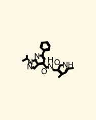 Cc1cc(C)c(CNC(=O)c2cc(-c3ccccc3)nc3c2cnn3C(C)C)c(=O)[nH]1